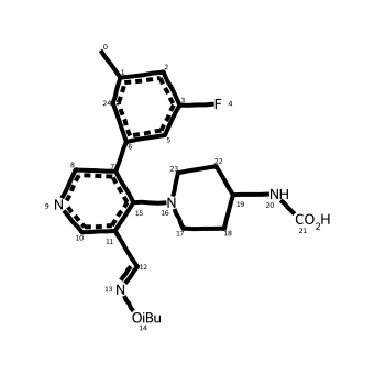 Cc1cc(F)cc(-c2cncc(C=NOCC(C)C)c2N2CCC(NC(=O)O)CC2)c1